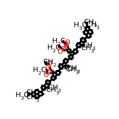 C=CC(=O)OCCCC1(CCCOC(=O)C=C)c2cc(-c3ccc4c(c3)C(C)(C)c3cc(-c5ccc6ccc7cc(C(C)(C)C)cc8ccc5c6c78)ccc3-4)ccc2-c2ccc(-c3ccc4c(c3)C(CC)(CC)c3cc(-c5ccc6c(c5)C(CCCOC(=O)C=C)(COC(=O)C=C)c5cc(-c7ccc8c(c7)C(C)(C)c7cc(-c9ccc%10ccc%11cc(C(C)(C)C)cc%12ccc9c%10c%11%12)ccc7-8)ccc5-6)ccc3-4)cc21